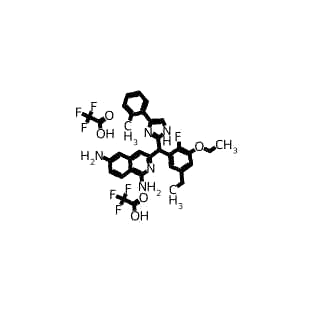 CCOc1cc(CC)cc(C(c2cc3cc(N)ccc3c(N)n2)c2nc(-c3ccccc3C)c[nH]2)c1F.O=C(O)C(F)(F)F.O=C(O)C(F)(F)F